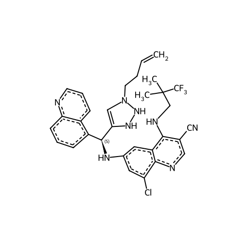 C=CCCN1C=C([C@@H](Nc2cc(Cl)c3ncc(C#N)c(NCC(C)(C)C(F)(F)F)c3c2)c2cccc3ncccc23)NN1